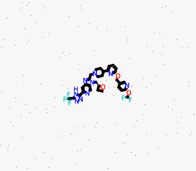 FC(F)Oc1ccc(COc2cccc(C3CCN(Cc4nc5cc(-c6nnc(C(F)(F)F)[nH]6)ncc5n4C[C@@H]4CCO4)CC3)n2)cn1